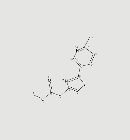 COC(=O)Cc1csc(-c2ccc(C)nc2)n1